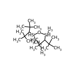 C[SiH](O[SiH](C)C(C(C)(C)C)C(C)(C)C)C(C(C)(C)C)C(C)(C)C